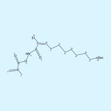 C=C(C)C(=O)ONC(=O)C(=CCCCCCCCCCCCCCCCCC)CC